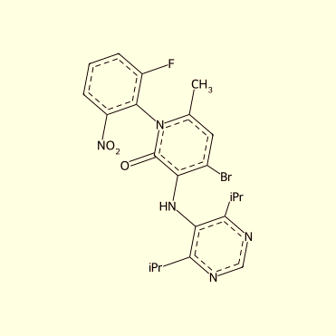 Cc1cc(Br)c(Nc2c(C(C)C)ncnc2C(C)C)c(=O)n1-c1c(F)cccc1[N+](=O)[O-]